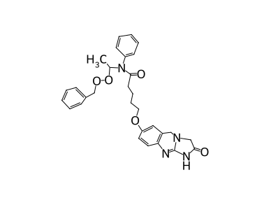 CC(OOCc1ccccc1)N(C(=O)CCCCOc1ccc2c(c1)CN1CC(=O)NC1=N2)c1ccccc1